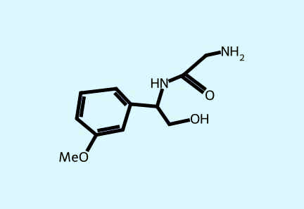 COc1cccc(C(CO)NC(=O)CN)c1